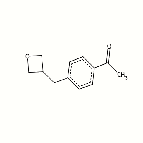 CC(=O)c1ccc(CC2COC2)cc1